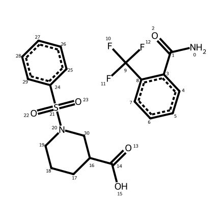 NC(=O)c1ccccc1C(F)(F)F.O=C(O)C1CCCN(S(=O)(=O)c2ccccc2)C1